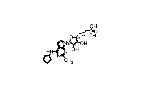 Cc1nc(NC2CCCC2)c2ccn([C@@H]3O[C@H](COCP(=O)(O)O)[C@@H](O)[C@H]3O)c2n1